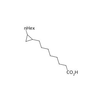 CCCCCCC1CC1CCCCCCCC(=O)O